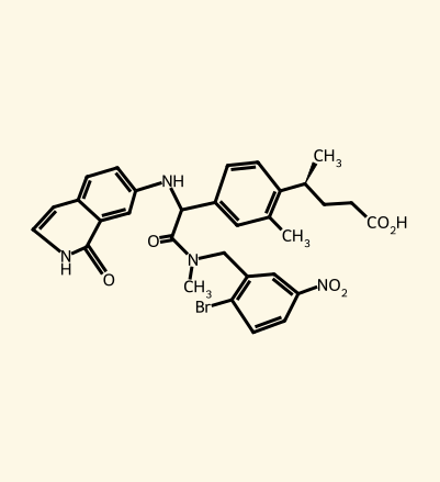 Cc1cc(C(Nc2ccc3cc[nH]c(=O)c3c2)C(=O)N(C)Cc2cc([N+](=O)[O-])ccc2Br)ccc1[C@@H](C)CCC(=O)O